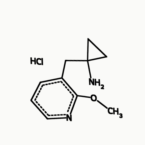 COc1ncccc1CC1(N)CC1.Cl